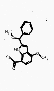 COc1ccc(C(=O)Cl)c2[nH]c(C(OC)c3ccccc3)nc12